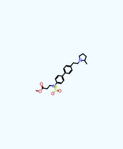 COC(=O)CCN(c1ccc(-c2ccc(CCN3CCCC3C)cc2)cc1)[SH](=O)=O